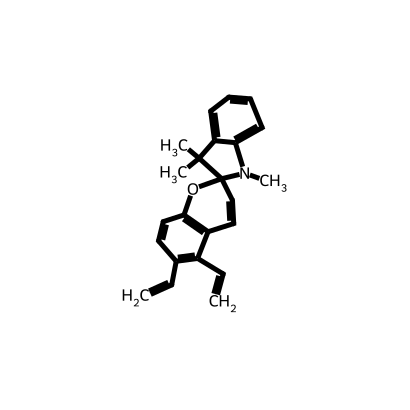 C=Cc1ccc2c(c1C=C)C=CC1(O2)N(C)c2ccccc2C1(C)C